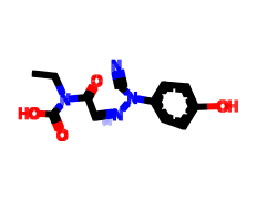 CCN(C(=O)O)C(=O)/C=N\N(C#N)c1ccc(O)cc1